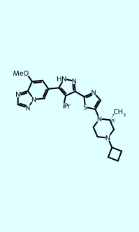 COc1cc(-c2[nH]nc(-c3ncc(N4CCN(C5CCC5)C[C@H]4C)s3)c2C(C)C)cn2ncnc12